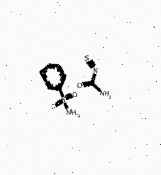 NC(=O)N=S.NS(=O)(=O)c1ccccc1